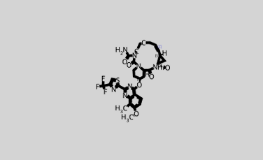 COc1ccc2c(O[C@H]3CCN4C(=O)N(C(N)=O)CCCC/C=C\[C@@H]5C[C@@]5([C]=O)NC(=O)[C@@H]4C3)nc(-c3nc(C(F)(F)F)cs3)nc2c1C